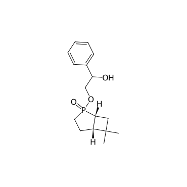 CC1(C)C[C@@H]2[C@H]1CCP2(=O)OCC(O)c1ccccc1